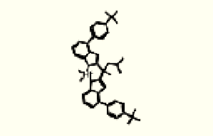 CC(C)CC1(C)C2=Cc3c(-c4ccc(C(C)(C)C)cc4)cccc3[CH]2[Hf]([CH3])([CH3])[CH]2C1=Cc1c(-c3ccc(C(C)(C)C)cc3)cccc12